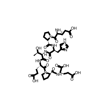 C[C@@H](O)[C@H](NC(=O)[C@H](Cc1c[nH]cn1)NC(=O)[C@@H]1CCCN1C(=O)[C@@H](N)CCC(=O)O)C(=O)N[C@@H](CCC(=O)O)C(=O)N1CCC[C@H]1C(=O)N[C@@H](CCC(=O)O)C(=O)O